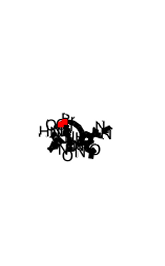 CC(=O)c1nn2c3c(cc(-c4cnc(C)nc4)cc13)CCCCCCC(=O)NC[C@@]13C[C@@H](C(=O)Nc4cncc(Br)n4)N(C(=O)C2)C1C3C